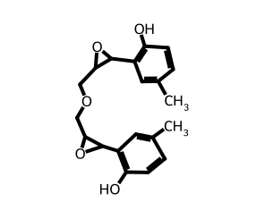 Cc1ccc(O)c(C2OC2COCC2OC2c2cc(C)ccc2O)c1